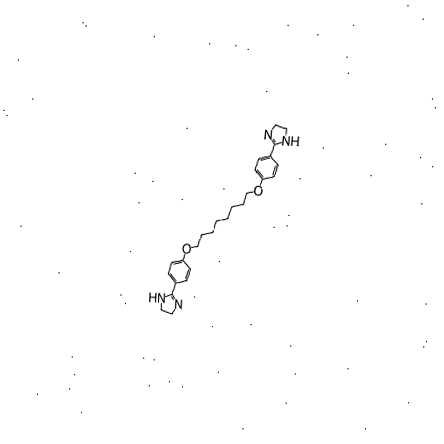 c1cc(C2=NCCN2)ccc1OCCCCCCCCOc1ccc(C2=NCCN2)cc1